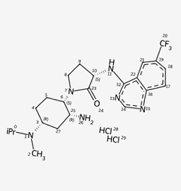 CC(C)N(C)[C@@H]1CC[C@H](N2CC[C@H](Nc3ncnc4ccc(C(F)(F)F)cc34)C2=O)[C@H](N)C1.Cl.Cl